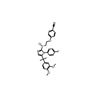 COc1ccc(C(C)(C)c2cnc([S+]([O-])CCOc3ccc(C#N)cc3)n2-c2ccc(F)cc2)cc1OC